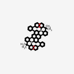 CC1(C)c2ccccc2B2c3c(cccc31)-c1cc3c(-c4ccccc4-c4ccccc4)cc4c5c(cc6c(-c7ccccc7-c7ccccc7)cc2c1c6c35)-c1cccc2c1B4c1ccccc1C2(C)C